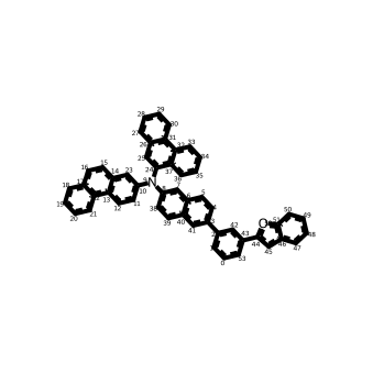 c1cc(-c2ccc3cc(N(c4ccc5c(ccc6ccccc65)c4)c4cc5ccccc5c5ccccc45)ccc3c2)cc(-c2cc3ccccc3o2)c1